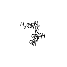 COc1ccc2ncc(F)c(CCN3CC[C@@H](NC(=O)c4cc5c(cn4)OCCO5)[C@H](O)C3)c2n1